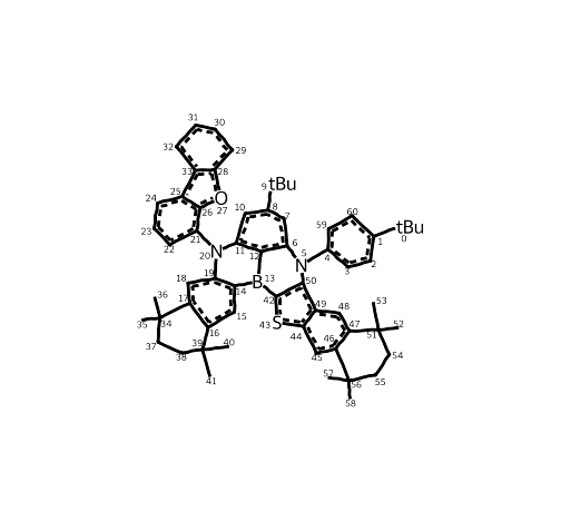 CC(C)(C)c1ccc(N2c3cc(C(C)(C)C)cc4c3B(c3cc5c(cc3N4c3cccc4c3oc3ccccc34)C(C)(C)CCC5(C)C)c3sc4cc5c(cc4c32)C(C)(C)CCC5(C)C)cc1